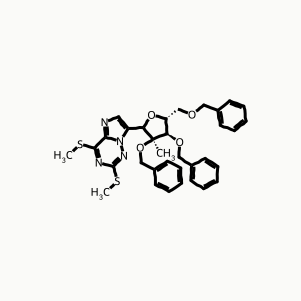 CSc1nc(SC)c2ncc(C3O[C@H](COCc4ccccc4)[C@@H](OCc4ccccc4)[C@@]3(C)OCc3ccccc3)n2n1